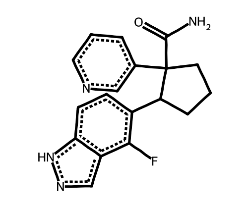 NC(=O)C1(c2cccnc2)CCCC1c1ccc2[nH]ncc2c1F